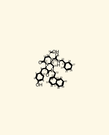 O=C1C(Cc2ccc(O)cc2)N2C(=O)C[C@H](CO)N(C(=O)NCc3ccccc3)C2CN1Cc1cccc2ccccc12